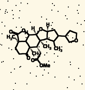 COC(=O)C[C@H]1[C@]2(C)C3C(C)C(C4CCOC4)C[C@@H]3O[C@@H]2[C@@H]2OC(=O)[C@]3(C)CCC(=O)[C@@]1(C)C23